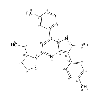 CCCCc1nn2c(-c3cccc(C(F)(F)F)c3)cc(N3CCCC3CO)nc2c1-c1ccc(C)cc1